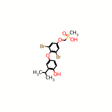 CC(C)c1cc(Oc2c(Br)cc(OCP(C)(=O)O)cc2Br)ccc1O